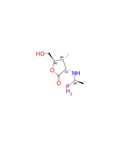 C[C@H]1[C@H](CO)OC(=O)[C@H]1N[C@@H](C)P